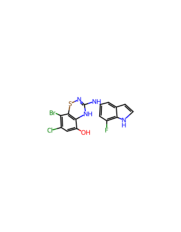 Oc1cc(Cl)c(Br)c2c1NC(Nc1cc(F)c3[nH]ccc3c1)=NS2